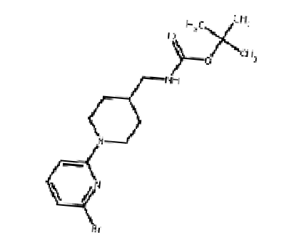 CC(C)(C)OC(=O)NCC1CCN(c2cccc(Br)n2)CC1